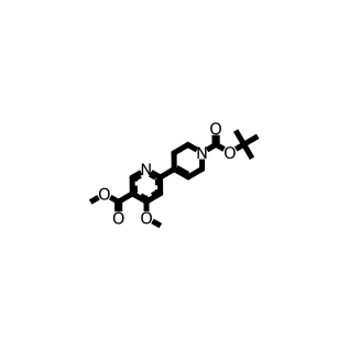 COC(=O)c1cnc(C2=CCN(C(=O)OC(C)(C)C)CC2)cc1OC